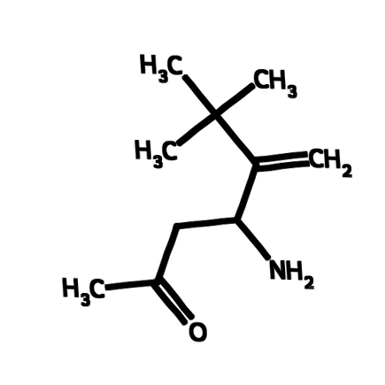 C=C(C(N)CC(C)=O)C(C)(C)C